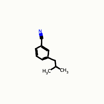 C[C](C)Cc1cccc(C#N)c1